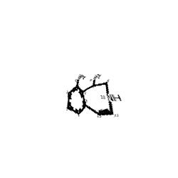 CC(C)c1cccc2c1C(C(C)C)CNC=C2